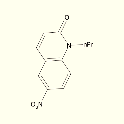 CCCn1c(=O)ccc2cc([N+](=O)[O-])ccc21